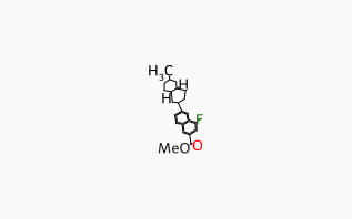 COC(=O)c1cc(F)c2cc(C3CC[C@H]4CC(C)CC[C@@H]4C3)ccc2c1